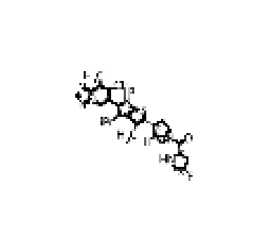 Cc1c(-c2[nH]c3sc([C@@H]4CC5C[C@H]4CN5C(=O)[C@H]4C[C@@H](F)CN4)c(C)c3c2C(C)C)cn2ncnc2c1C